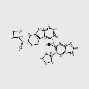 O=C([C@H]1CCc2c(sc3ncnc(Nc4cc5cn[nH]c5cc4N4CCCC4)c23)C1)N1CCC1